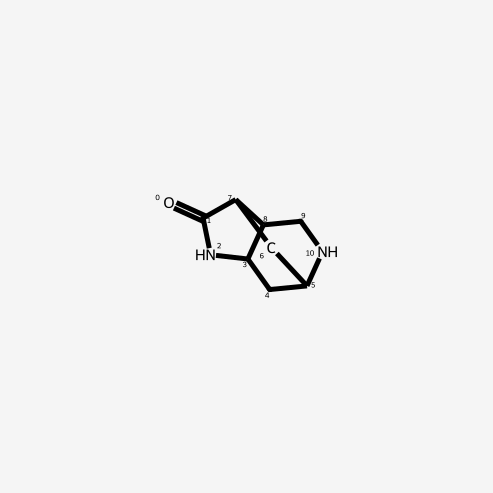 O=C1NC2CC3CC1C2CN3